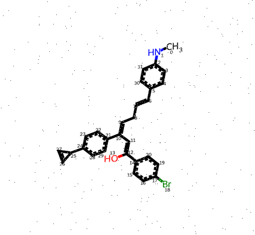 CNc1ccc(/C=C/C/C=C(\C=C(/O)c2ccc(Br)cc2)c2ccc(C3C=C3)cc2)cc1